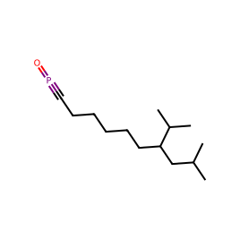 CC(C)CC(CCCCCC#P=O)C(C)C